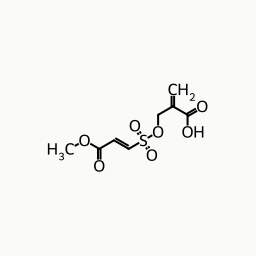 C=C(COS(=O)(=O)C=CC(=O)OC)C(=O)O